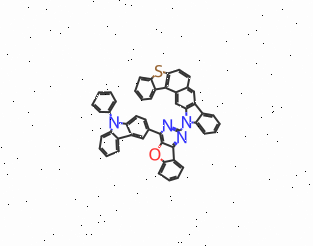 c1ccc(-n2c3ccccc3c3cc(-c4nc(-n5c6ccccc6c6cc7ccc8sc9ccccc9c8c7cc65)nc5c4oc4ccccc45)ccc32)cc1